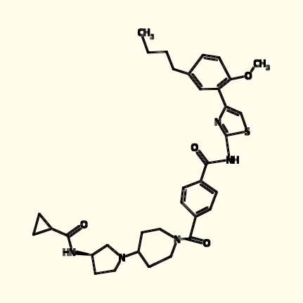 CCCCc1ccc(OC)c(-c2csc(NC(=O)c3ccc(C(=O)N4CCC(N5CC[C@@H](NC(=O)C6CC6)C5)CC4)cc3)n2)c1